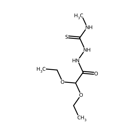 CCOC(OCC)C(=O)NNC(=S)NC